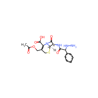 CC(=O)OCC1=C(C(=O)O)N2C(=O)[C@@H](NC(=O)C(NN)c3ccccc3)[C@H]2SC1